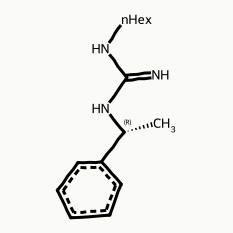 CCCCCCNC(=N)N[C@H](C)c1ccccc1